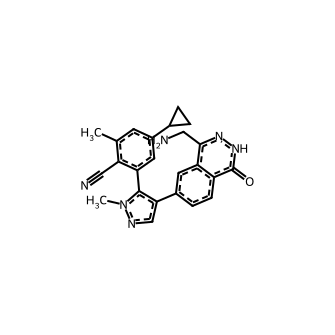 Cc1cc(C2CC2)cc(-c2c(-c3ccc4c(=O)[nH]nc(CN)c4c3)cnn2C)c1C#N